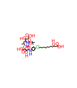 CC(C)C[C@H](NC(=O)OC(C)(C)C)C(O)CC(=O)O.CCCCCCCCCC(O)CC(=O)O.O=C(O)C(O)[C@H](O)C(=O)Nc1ccc(Cl)cc1